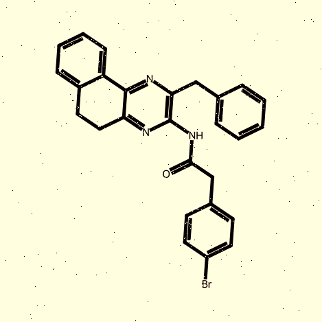 O=C(Cc1ccc(Br)cc1)Nc1nc2c(nc1Cc1ccccc1)-c1ccccc1CC2